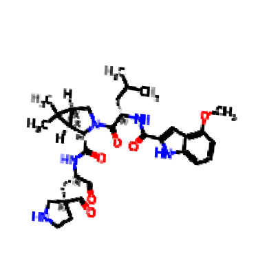 COc1cccc2[nH]c(C(=O)N[C@@H](CC(C)C)C(=O)N3C[C@H]4[C@@H]([C@H]3C(=O)N[C@H](C=O)C[C@]3(C=O)CCNC3)C4(C)C)cc12